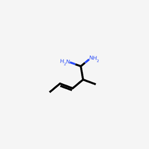 CC=CC(C)C(N)N